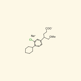 COCC(CCC(=O)[O-])c1ccc(C2CCCCC2)c(Cl)c1.[Na+]